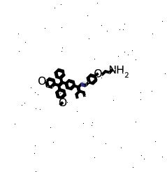 CCC(CC)=C(/C=C/c1ccc(OCCCN)cc1)c1ccc(C(=C(c2ccc(OC)cc2)c2ccc(OC)cc2)c2ccccc2)cc1